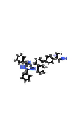 C/C=C(\C=N)c1ccc(-c2ccc(C3N=C(c4ccccc4)NC(c4ccccc4)N3)c3ccccc23)cc1